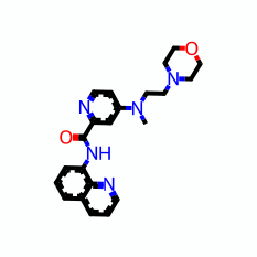 CN(CCN1CCOCC1)c1ccnc(C(=O)Nc2cccc3cccnc23)c1